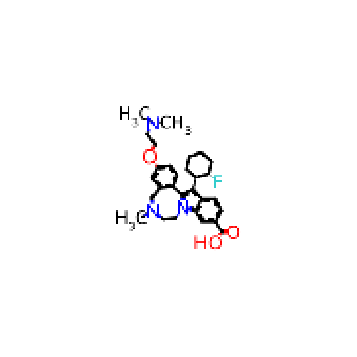 CN(C)CCOc1ccc2c(c1)CN(C)CCn1c-2c([C@H]2CCCC[C@@H]2F)c2ccc(C(=O)O)cc21